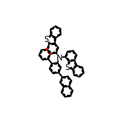 c1ccc(-c2ccc(-c3ccc4ccccc4c3)cc2N(c2ccc3sc4ccccc4c3c2)c2cccc3c2sc2ccccc23)cc1